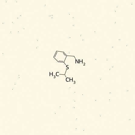 CC(C)Sc1ccccc1CN